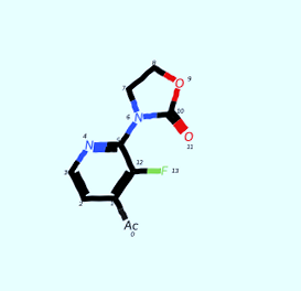 [CH2]C(=O)c1ccnc(N2CCOC2=O)c1F